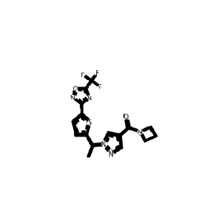 CC(c1ccc(-c2noc(C(F)(F)F)n2)s1)n1cc(C(=O)N2CCC2)cn1